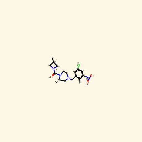 Cc1c(CN2CCN(C(=O)N3CC(C)C3)[C@@H](C)C2)cc(Cl)cc1[N+](=O)[O-]